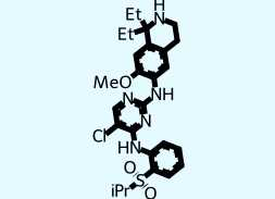 CCC1(CC)NCCc2cc(Nc3ncc(Cl)c(Nc4ccccc4S(=O)(=O)C(C)C)n3)c(OC)cc21